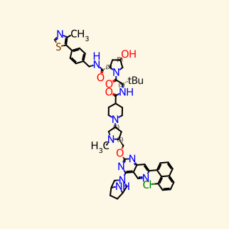 Cc1ncsc1-c1ccc(CNC(=O)[C@@H]2C[C@@H](O)CN2C(=O)[C@@H](NC(=O)C2CCN([C@H]3C[C@@H](COc4nc(N5CC6CCC(C5)N6)c5cnc(-c6cccc7cccc(Cl)c67)cc5n4)N(C)C3)CC2)C(C)(C)C)cc1